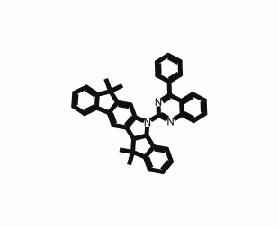 CC1(C)c2ccccc2-c2cc3c(cc21)N(c1nc(-c2ccccc2)c2ccccc2n1)C1c2ccccc2C(C)(C)C31